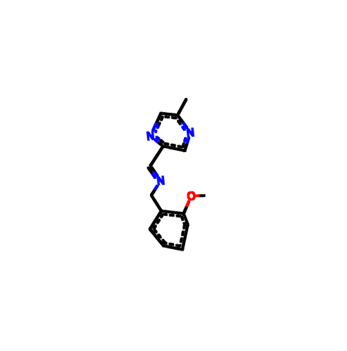 COc1ccccc1CN=Cc1cnc(C)cn1